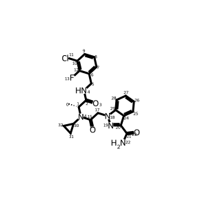 C[C@H](C(=O)NCc1cccc(Cl)c1F)N(C(=O)Cn1nc(C(N)=O)c2ccccc21)C1CC1